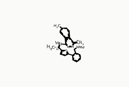 CNCc1ccccc1-c1ccc([C@H](C)Nc2nnc(C)c3ccc(C)cc23)s1